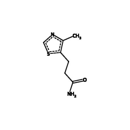 Cc1ncsc1CCC(N)=O